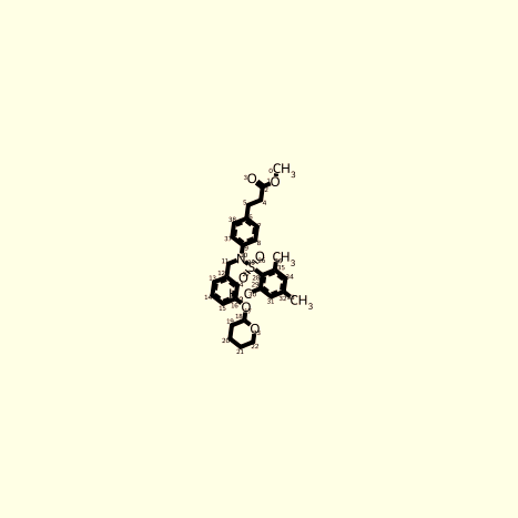 COC(=O)CCc1ccc(N(Cc2cccc(OC3CCCCO3)c2)S(=O)(=O)c2c(C)cc(C)cc2C)cc1